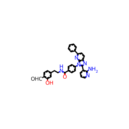 Nc1ncccc1-c1nc2ccc(-c3ccccc3)nc2n1-c1ccc(C(=O)NCCc2ccc(C=O)c(O)c2)cc1